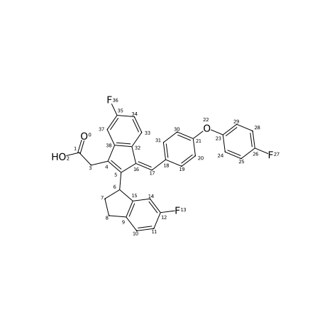 O=C(O)CC1=C(C2CCc3ccc(F)cc32)/C(=C/c2ccc(Oc3ccc(F)cc3)cc2)c2ccc(F)cc21